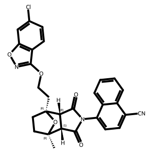 C[C@]12CC[C@](CCOc3noc4cc(Cl)ccc34)(O1)[C@@H]1C(=O)N(c3ccc(C#N)c4ccccc34)C(=O)[C@@H]12